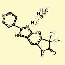 CC1(C)C(=O)Nc2cc3[nH]c(-c4ccncc4)nc3cc21.O.O.O.O